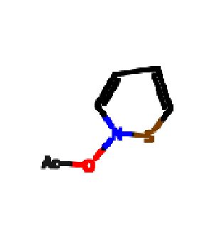 CC(=O)ON1C=CC=CS1